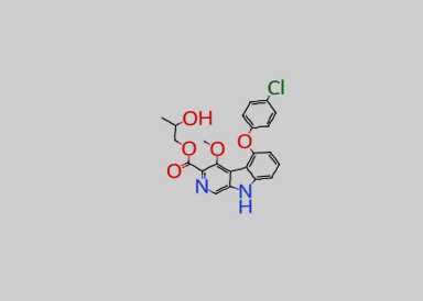 COc1c(C(=O)OCC(C)O)ncc2[nH]c3cccc(Oc4ccc(Cl)cc4)c3c12